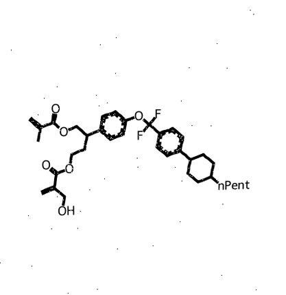 C=C(C)C(=O)OCC(CCOC(=O)C(=C)CO)c1ccc(OC(F)(F)c2ccc(C3CCC(CCCCC)CC3)cc2)cc1